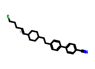 N#Cc1ccc(-c2ccc(CCC3CCC(/C=C/CCCF)CC3)cc2)cc1